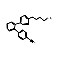 CCCCCc1ccc(-c2ccccc2-c2ccc(C#N)cc2)cc1